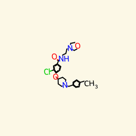 CCc1ccc(CN2CCC(Oc3ccc(C(=O)NCCCN4CCOCC4)cc3Cl)CC2)cc1